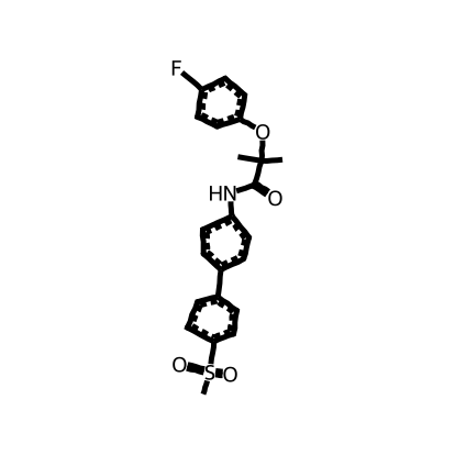 CC(C)(Oc1ccc(F)cc1)C(=O)Nc1ccc(-c2ccc(S(C)(=O)=O)cc2)cc1